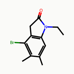 CCN1C(=O)Cc2c1cc(C)c(C)c2Br